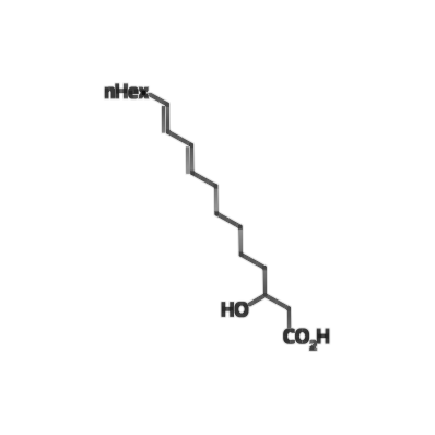 CCCCCC/C=C/C=C/CCCCCC(O)CC(=O)O